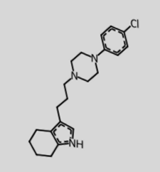 Clc1ccc(N2CCN(CCCc3c[nH]c4c3CCCC4)CC2)cc1